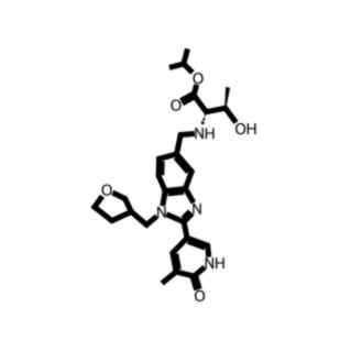 Cc1cc(-c2nc3cc(CN[C@H](C(=O)OC(C)C)[C@@H](C)O)ccc3n2CC2CCOC2)c[nH]c1=O